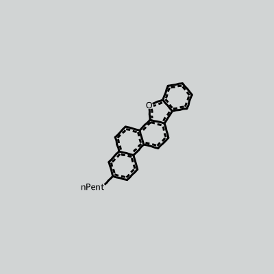 CCCCCc1ccc2c(ccc3c2ccc2c4ccccc4oc23)c1